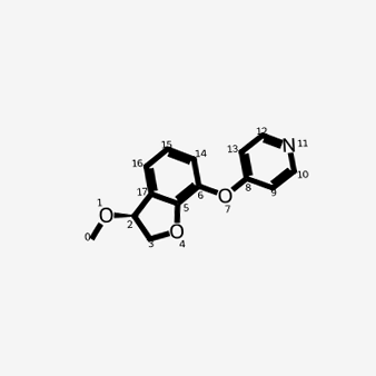 CO[C@@H]1COc2c(Oc3ccncc3)cccc21